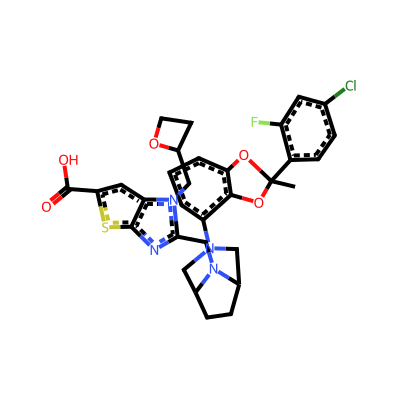 CC1(c2ccc(Cl)cc2F)Oc2cccc(N3CC4CCC(C3)N4Cc3nc4sc(C(=O)O)cc4n3CC3CCO3)c2O1